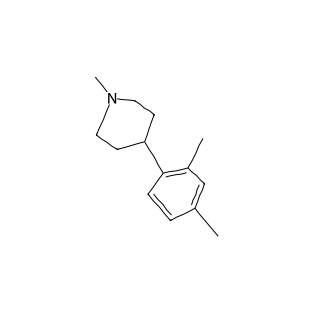 Cc1ccc(C2CCN(C)CC2)c(C)c1